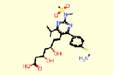 CC(C)c1nc(N(C)S(C)(=O)=O)nc(-c2ccc(F)cc2)c1/C=C/[C@@H](O)C[C@@H](O)CC(=O)O.CN